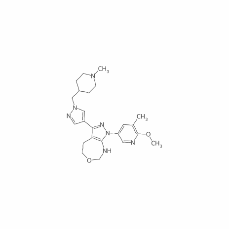 COc1ncc(-n2nc(-c3cnn(CC4CCN(C)CC4)c3)c3c2NCOCC3)cc1C